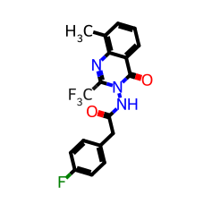 Cc1cccc2c(=O)n(NC(=O)Cc3ccc(F)cc3)c(C(F)(F)F)nc12